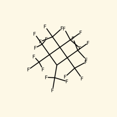 FC(F)(F)C1C(C(F)(F)F)(C(F)(F)F)C(C(F)(F)F)(C(F)(F)F)C1(C(F)(F)F)C(F)(F)F